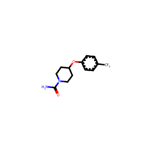 NC(=O)N1CCC(Oc2ccc(C(F)(F)F)cc2)CC1